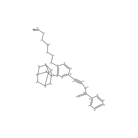 COCCOCCCc1ccc(C#COC(=O)c2ccccc2)cc1C12CC3CC(CC(C3)C1)C2